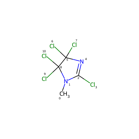 CN1C(Cl)=NC(Cl)(Cl)C1(Cl)Cl